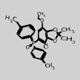 CCOc1cc(P(=O)(c2ccc(C)cc2)c2ccc(C)cc2)c(Cl)c2c1OC(C)(C)O2